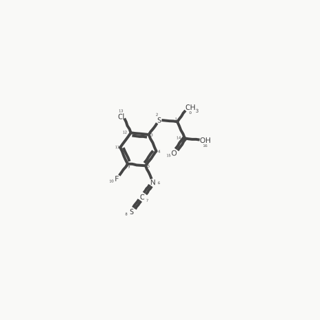 CC(Sc1cc(N=C=S)c(F)cc1Cl)C(=O)O